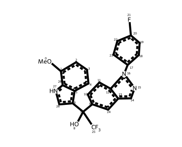 COc1cccc2c(C(O)(c3ccc4c(cnn4-c4ccc(F)cc4)c3)C(F)(F)F)c[nH]c12